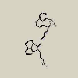 C=C(/C=C/C=C/C=c1\c2cccc3cccc(c32)n1CCCC)c1cccc2cccc(C)c12